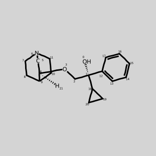 O[C@](CO[C@@H]1CN2CCC1CC2)(c1ccccc1)C1CC1